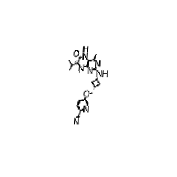 Cc1nc(N[C@H]2C[C@@H](COc3ccc(C#N)nc3)C2)nc2c1NC(=O)[C@H](C(C)C)N2C